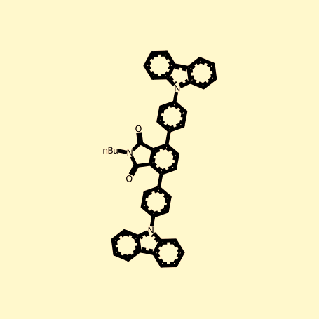 CCCCN1C(=O)c2c(-c3ccc(-n4c5ccccc5c5ccccc54)cc3)ccc(-c3ccc(-n4c5ccccc5c5ccccc54)cc3)c2C1=O